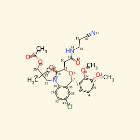 COc1cccc([C@H]2O[C@H](CC(=O)NCCC#N)C(=O)N(CC(C)(C)COC(C)=O)c3ccc(Cl)cc32)c1OC